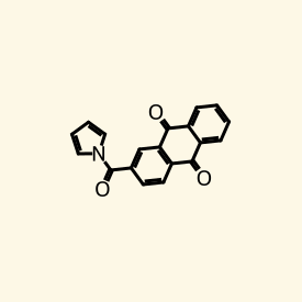 O=C1c2ccccc2C(=O)c2cc(C(=O)n3cccc3)ccc21